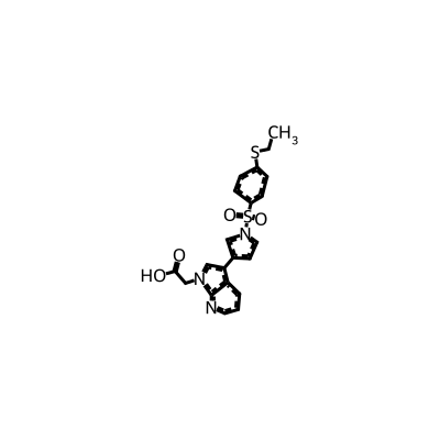 CCSc1ccc(S(=O)(=O)n2ccc(-c3cn(CC(=O)O)c4ncccc34)c2)cc1